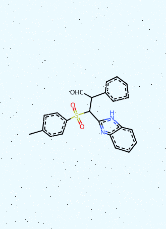 Cc1ccc(S(=O)(=O)C(c2nc3ccccc3[nH]2)C(C=O)c2ccccc2)cc1